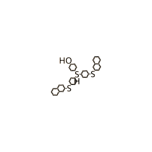 Oc1ccc([SH](c2ccc(Sc3ccc4ccccc4c3)cc2)c2ccc(Sc3ccc4ccccc4c3)cc2)cc1